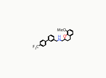 COc1cccc2c1OC(CNCc1cccc(-c3ccc(C(F)(F)F)cc3)c1)CC2